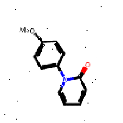 [CH2]Oc1ccc(-n2ccccc2=O)cc1